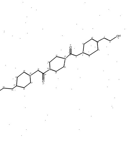 O=C(CN1CCC(CCO)CC1)N1CCN(C(=O)CN2CCC(CCO)CC2)CC1